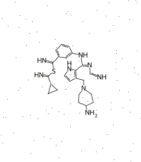 N=C/N=C(/Nc1cccc(C(=N)SC(=N)C2CC2)c1)c1[nH]ccc1CN1CCC(N)CC1